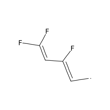 [CH2]C=C(F)C=C(F)F